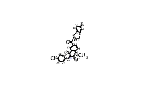 CN1c2ccc(C(=O)NCc3ccc(F)cc3)cc2C(=O)/C(=C\c2ccc(Cl)cc2)[S+]1[O-]